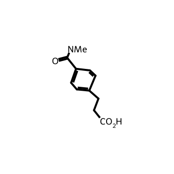 CNC(=O)c1ccc(CCC(=O)O)cc1